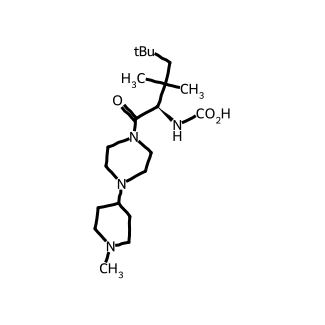 CN1CCC(N2CCN(C(=O)[C@H](NC(=O)O)C(C)(C)CC(C)(C)C)CC2)CC1